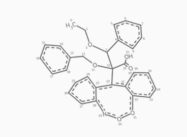 CCOC(c1ccccc1)C(OCc1ccccc1)(C(=O)O)c1c2ccccc2nooc2ccccc12